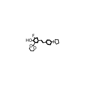 Oc1c(F)cc(/C=C/c2ccc(N3CCCC3)cc2)cc1C1OCCCO1